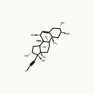 C[C@]12C[C@H](O)[C@@H](O)CC1=C[C@H](O)[C@@H]1[C@@H]2CC[C@@]2(C)[C@H]1C[C@@H](O)[C@@]2(O)C#CCl